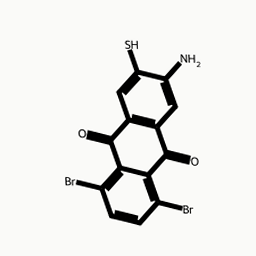 Nc1cc2c(cc1S)C(=O)c1c(Br)ccc(Br)c1C2=O